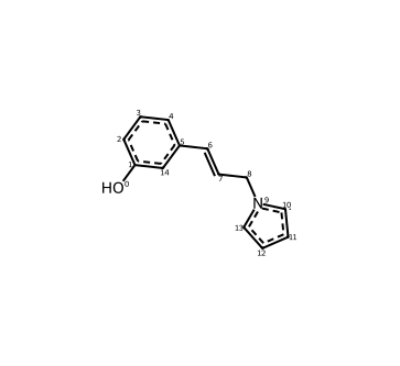 Oc1cccc(/C=C/Cn2[c]ccc2)c1